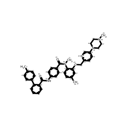 Cc1ccc(-c2ccccc2C(=O)Nc2ccc(C(=O)N(C)c3ccc(C)cc3OCc3ccc(N4CCN(C)CC4)cn3)cc2)cc1